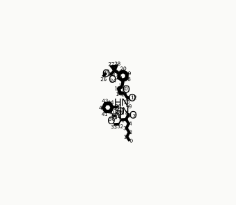 CCCCCC(C(=O)NCNC(=O)c1ccc(-c2cccc(C3(C(=O)OC)CC3)c2)o1)[C@@H](CC)N(C=O)OCc1ccccc1